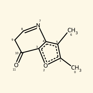 Cc1oc2c(c1C)N=CCC2=O